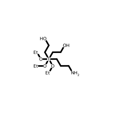 CC[O][Ti]([CH2]CO)([CH2]CO)([CH2]CCN)([O]CC)[O]CC